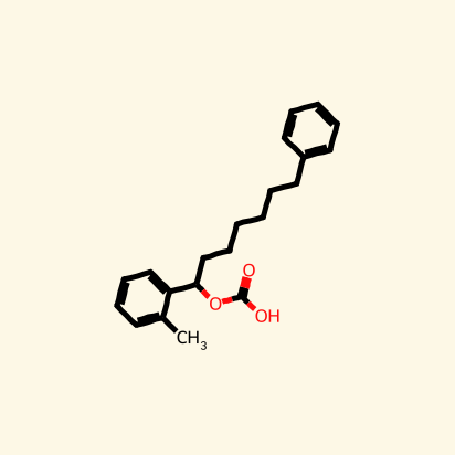 Cc1ccccc1C(CCCCCCc1ccccc1)OC(=O)O